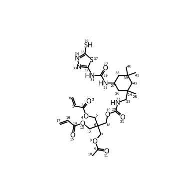 C=CC(=O)OCC(COC(C)=O)(COC(=O)C=C)COC(=O)NCC1(C)CC(NC(=O)Nc2nnc(S)s2)CC(C)(C)C1